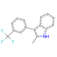 Cc1[nH]c2c[c]ccc2c1-c1cccc(C(F)(F)F)c1